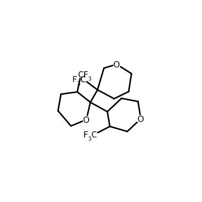 FC(F)(F)C1COCCC1C1(C2(C(F)(F)F)CCCOC2)OCCCC1C(F)(F)F